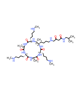 CNCCCC[C@@H]1NC(=O)[C@@H](C)NC(=O)[C@H](CCCCNC)N[C@H](C)[C@@H](CCCCNCC(=O)CC(=O)NCC(C)C)NC(=O)[C@H](CCCCNC)NC(=O)[C@@H](C)NC1=O